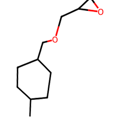 CC1CCC(COCC2CO2)CC1